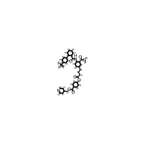 CN(C)C(=O)c1cc(CCCC(=O)Oc2ccc(C(=O)OCc3ccncc3)cc2)ccc1NC(=O)c1ccccc1-c1ccc(C(F)(F)F)cc1